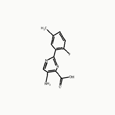 Cc1ccc(F)c(-c2ncc(N)c(C(=O)O)n2)c1